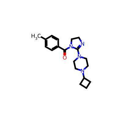 Cc1ccc(C(=O)N2CCN=C2N2CCN(C3CCC3)CC2)cc1